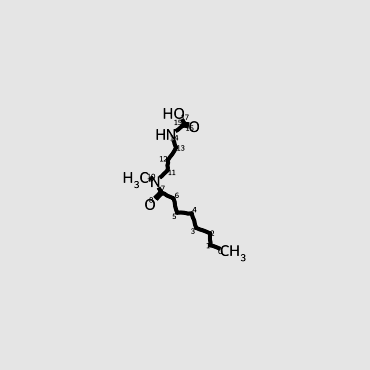 CCCCCCCC(=O)N(C)CCCNC(=O)O